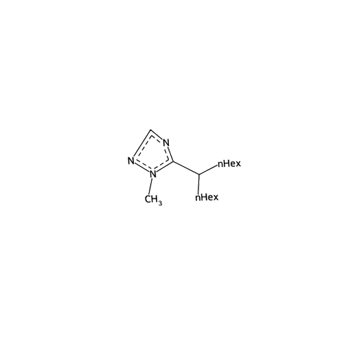 CCCCCCC(CCCCCC)c1ncnn1C